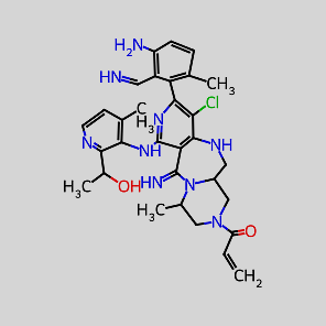 C=CC(=O)N1CC(C)N2C(=N)c3c(Nc4c(C)ccnc4C(C)O)nc(-c4c(C)ccc(N)c4C=N)c(Cl)c3NCC2C1